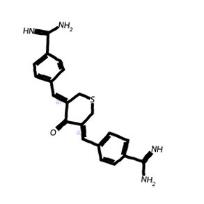 N=C(N)c1ccc(/C=C2\CSC/C(=C\c3ccc(C(=N)N)cc3)C2=O)cc1